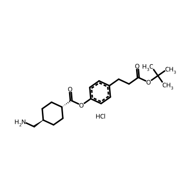 CC(C)(C)OC(=O)CCc1ccc(OC(=O)[C@H]2CC[C@H](CN)CC2)cc1.Cl